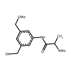 CNC(C)C(=O)Nc1cc(CN=O)cc(COC)c1